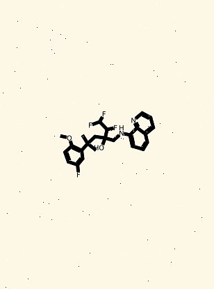 COc1ccc(F)cc1C(C)(C)CC(O)(CNc1cccc2cccnc12)C(F)C(F)F